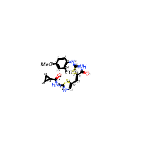 COc1ccc(N=C2NC(=O)C(=Cc3cnc(NC(=O)C4CC4)s3)S2)c(C(=O)O)c1